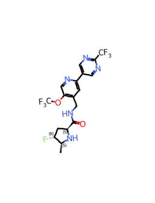 C[C@@H]1N[C@H](C(=O)NCc2cc(-c3cnc(C(F)(F)F)nc3)ncc2OC(F)(F)F)C[C@H]1F